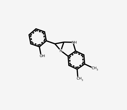 Cc1cc2c(cc1C)N1C(N2)C1c1ccccc1O